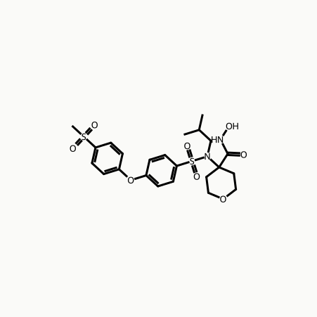 CC(C)CN(C1(C(=O)NO)CCOCC1)S(=O)(=O)c1ccc(Oc2ccc(S(C)(=O)=O)cc2)cc1